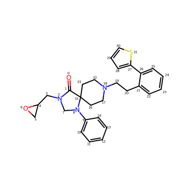 O=C1N(CC2CO2)CN(c2ccccc2)C12CCN(CCc1ccccc1-c1cccs1)CC2